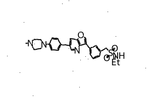 CCNS(=O)(=O)Cc1cccc(-c2coc3cc(-c4ccc(N5CCN(C)CC5)cc4)cnc23)c1